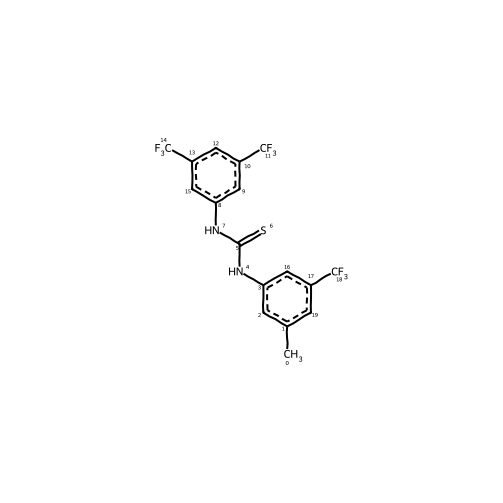 Cc1cc(NC(=S)Nc2cc(C(F)(F)F)cc(C(F)(F)F)c2)cc(C(F)(F)F)c1